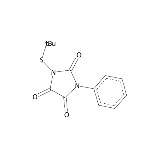 CC(C)(C)SN1C(=O)C(=O)N(c2ccccc2)C1=O